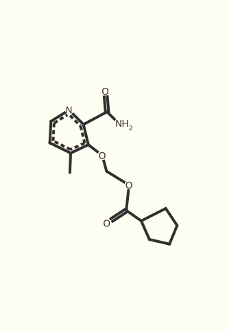 Cc1ccnc(C(N)=O)c1OCOC(=O)C1CCCC1